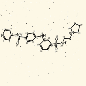 O=C(Nc1ccncc1)c1ccc(Nc2cccc(S(=O)(=O)NCCN3CCCC3)c2)cc1